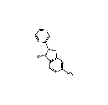 O=[N+]([O-])c1ccc2c(c1)CN(c1ccccc1)[S+]2[O-]